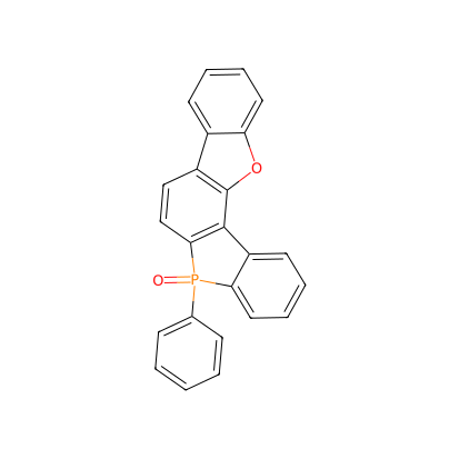 O=P1(c2ccccc2)c2ccccc2-c2c1ccc1c2oc2ccccc21